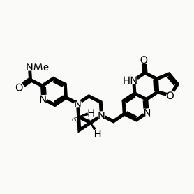 CNC(=O)c1ccc(N2CCN(Cc3cnc4c(c3)[nH]c(=O)c3ccoc34)[C@@H]3C[C@@H]32)cn1